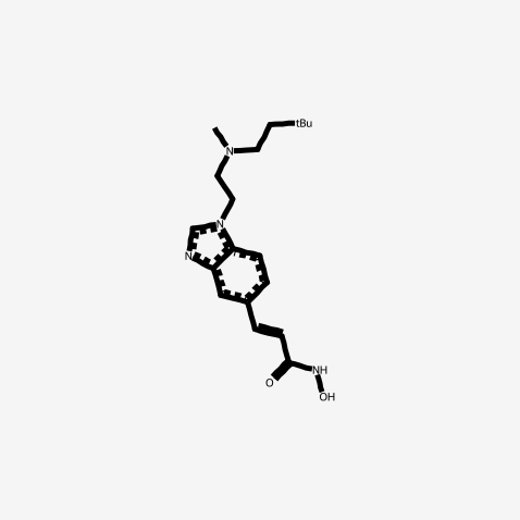 CN(CCn1cnc2cc(/C=C/C(=O)NO)ccc21)CCC(C)(C)C